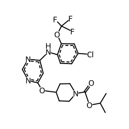 CC(C)OC(=O)N1CCC(Oc2cc(Nc3ccc(Cl)cc3OC(F)(F)F)ncn2)CC1